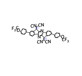 [C-]#[N+]/C(C#N)=C1/c2cc(-c3ccc(OC(F)(F)F)cc3)ccc2-c2nc3c(nc21)-c1ccc(-c2ccc(OC(F)(F)F)cc2)cc1/C3=C(/C#N)[N+]#[C-]